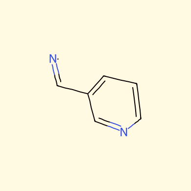 [N]=Cc1cccnc1